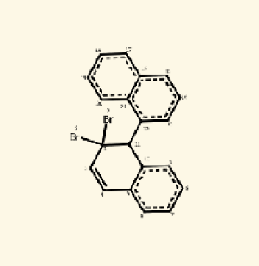 BrC1(Br)C=Cc2ccccc2C1c1cccc2ccccc12